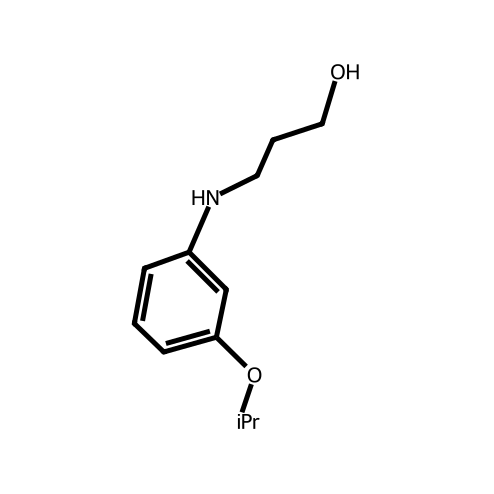 CC(C)Oc1cccc(NCCCO)c1